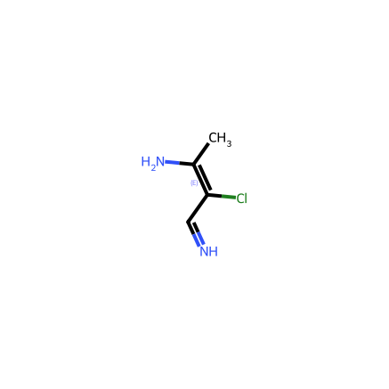 C/C(N)=C(\Cl)C=N